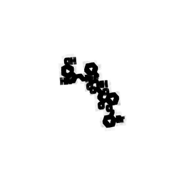 O=C(N[C@@H](Cc1ccccc1)C(=O)NCCc1c[nH]c2ccc(O)cc12)c1cc(=O)c2c(OCc3ccccc3Br)cccc2o1